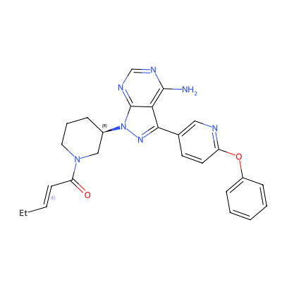 CC/C=C/C(=O)N1CCC[C@@H](n2nc(-c3ccc(Oc4ccccc4)nc3)c3c(N)ncnc32)C1